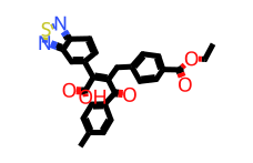 CCOC(=O)c1ccc(CC(C(=O)c2ccc(C)cc2)=C(C(=O)O)c2ccc3nsnc3c2)cc1